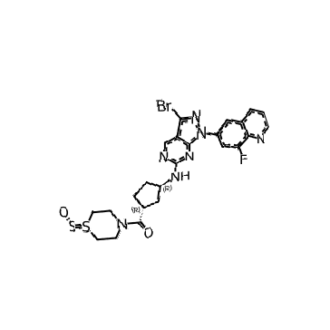 O=S=S1CCN(C(=O)[C@@H]2CC[C@@H](Nc3ncc4c(Br)nn(-c5cc(F)c6ncccc6c5)c4n3)C2)CC1